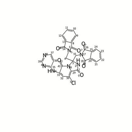 O=C1NC(CN2C(=O)c3ccccc3C2=O)(CN2C(=O)c3ccccc3C2=O)n2c1c(Cl)cc(Nc1ccncn1)c2=O